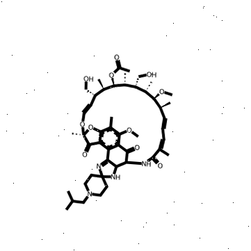 COc1c(C)c2c3c4c1C(=O)C(NC(=O)/C(C)=C\C=C\[C@H](C)[C@H](OC)[C@@H](C)[C@@H](CO)[C@@H](C)[C@H](OC(C)=O)[C@H](C)[C@@H](CO)/C=C/O[C@@](C)(O2)C3=O)C1NC2(CCN(CC(C)C)CC2)N=C41